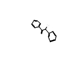 C=C(c1ccccc1)C(N)c1ccccc1